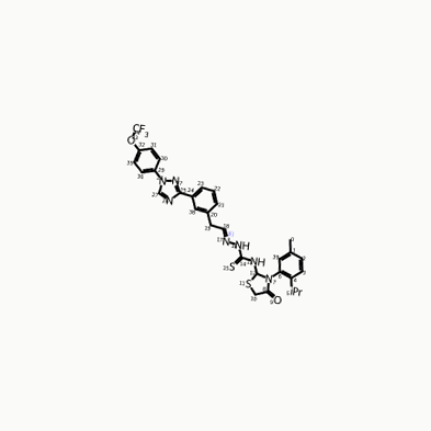 Cc1ccc(C(C)C)c(N2C(=O)CSC2NC(=S)N/N=C/Cc2cccc(-c3ncn(-c4ccc(OC(F)(F)F)cc4)n3)c2)c1